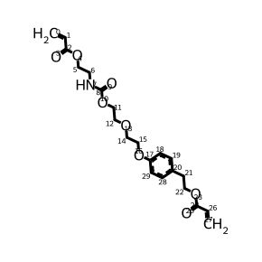 C=CC(=O)OCCNC(=O)OCCOCCOc1ccc(CCOC(=O)C=C)cc1